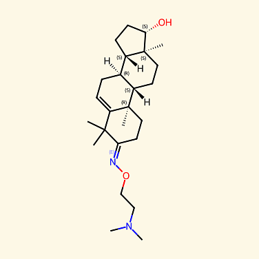 CN(C)CCO/N=C1\CC[C@@]2(C)C(=CC[C@H]3[C@@H]4CC[C@H](O)[C@@]4(C)CC[C@@H]32)C1(C)C